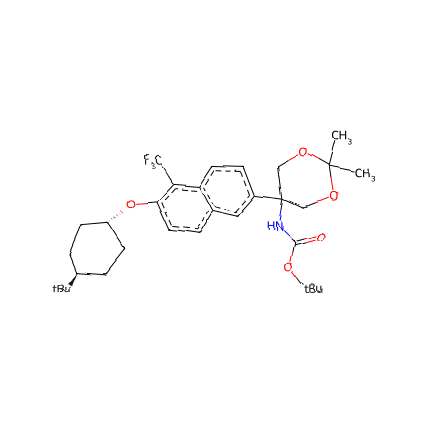 CC(C)(C)OC(=O)NC1(c2ccc3c(C(F)(F)F)c(O[C@H]4CC[C@H](C(C)(C)C)CC4)ccc3c2)COC(C)(C)OC1